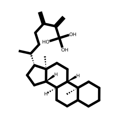 C=C(CCC(C)[C@H]1CC[C@H]2[C@@H]3CCC4CCCC[C@]4(C)[C@H]3CC[C@]12C)C(=C)C(O)(O)O